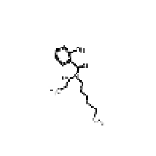 CCCCCCN(NCC)C(=O)c1ccccc1O